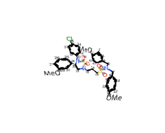 COc1ccc(CN(Cc2ccc(OC)cc2)S(=O)(=O)CCCN2C[C@H](c3cccc(OC)c3)N(c3ccc(Cl)cc3)S2(=O)=O)cc1